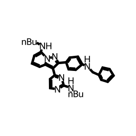 CCCCNc1nccc(-c2c(-c3ccc(NCc4ccccc4)cc3)nn3c(NCCCC)cccc23)n1